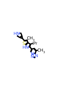 Cc1c(C2C3CNCC32)sc2[nH]c(-c3cc(C)c4ncnn4c3)c(C(C)C)c12